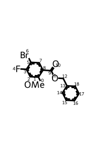 COc1cc(F)c(Br)cc1C(=O)OCc1ccccc1